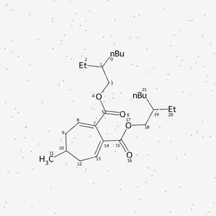 CCCCC(CC)COC(=O)C1=CCC(C)CC=C1C(=O)OCC(CC)CCCC